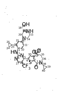 O=C1c2sc(-c3nc(Nc4ccc(N5CCN[C@@H](CO)C5)cc4C4CC4)ncc3C(F)(F)F)cc2S(=O)(=O)CCN1C1CC1